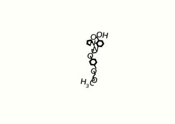 COCCOCc1ccc(OC2CN(c3cccc(C(=O)O)c3-n3cccc3)C2)cc1